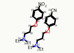 CCN(CC)CCCOc1ccc(C#N)cc1.CCN(CC)CCCOc1ccc([N+](=O)[O-])cc1